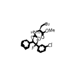 CCC(C)C[C@H](NC(=O)OC(c1ccccc1)C(F)(F)c1cccc(Cl)c1)C(=O)OC